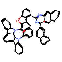 C=C/C(=N\C(=N/c1ccc2ccccc2c1)c1cccc2oc3c(-n4c5ccccc5c5ccc6c7ccccc7n(-c7ccccc7)c6c54)cccc3c12)c1ccc2ccccc2c1